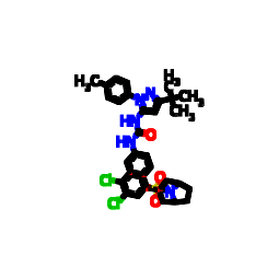 Cc1ccc(-n2nc(C(C)(C)C)cc2NC(=O)Nc2ccc(CC3CC4CCC(C3)N4S(=O)(=O)c3ccc(Cl)c(Cl)c3)cc2)cc1